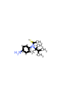 C=C(C)C(C)(C)N(C(C)=S)c1ccc(N)cc1